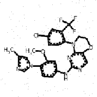 COc1cc(Nc2ncc3c(n2)N(c2ccc(Cl)cc2C(F)(F)F)CCO3)ccc1-n1cnc(C)c1